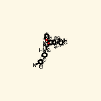 N#Cc1ccc(OC2CCC(NC(=O)c3ccc(N4CC5CCC(C4)N5Cc4ccc5c(c4F)C(=O)N(C4CCC(=O)NC4=O)C5=O)nn3)CC2)cc1Cl